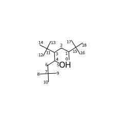 CC(CC(C(O)CC(C)(C)C)C(C)(C)C)C(C)(C)C